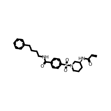 C=CC(=O)N[C@H]1CCCN(S(=O)(=O)c2ccc(C(=O)NCCCCc3ccccc3)cc2)C1